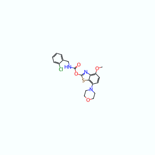 COc1ccc(N2CCOCC2)c2sc(OC(=O)NCc3ccccc3Cl)nc12